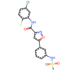 CS(=O)(=O)Nc1cccc(-c2cc(C(=O)Nc3cc(Cl)ccc3F)no2)c1